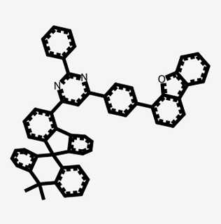 CC1(C)c2ccccc2C2(c3ccccc3-c3c(-c4cc(-c5ccc(-c6cccc7c6oc6ccccc67)cc5)nc(-c5ccccc5)n4)cccc32)c2ccccc21